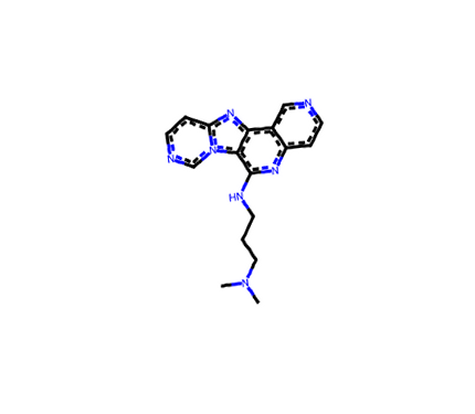 CN(C)CCCNc1nc2ccncc2c2nc3ccncn3c12